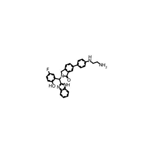 NCCNc1ccc(-c2ccc3c(c2)C(=O)N(C(c2nc4ccccc4[nH]2)c2cc(F)ccc2O)C3)cc1